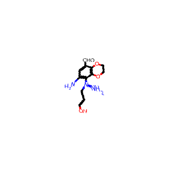 Nc1cc(C=O)c2c(c1N(N)CCCO)OCCO2